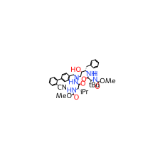 COC(=O)N[C@H](C(=O)NN(Cc1ccc(-c2ccccc2C#N)cc1)C[C@H](O)[C@H](Cc1ccccc1)NC(=O)[C@@H](NC(=O)OC)C(C)(C)C)C(C)C